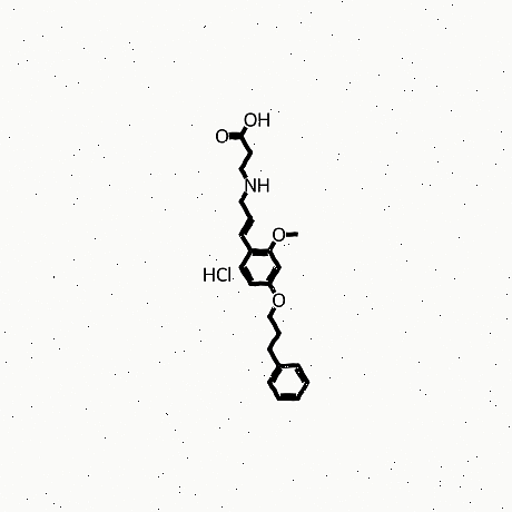 COc1cc(OCCCc2ccccc2)ccc1C=CCNCCC(=O)O.Cl